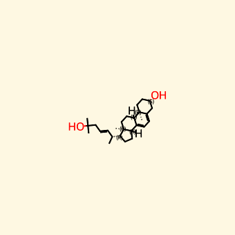 CC(C=CCC(C)(C)O)[C@H]1CC[C@H]2C3=CC=C4C[C@@H](O)CC[C@]4(C)[C@H]3CC[C@]12C